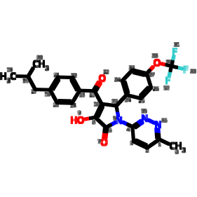 Cc1ccc(N2C(=O)C(O)=C(C(=O)c3ccc(CC(C)C)cc3)C2c2ccc(OC(F)(F)F)cc2)nn1